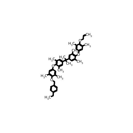 C=CCOc1c(C)cc(Oc2c(C)cc(C(C)(C)c3cc(C)c(Oc4cc(C)c(OCc5ccc(CC)cc5)c(C)c4)c(C)c3)cc2C)cc1C